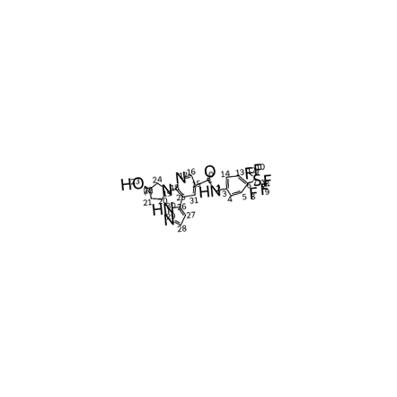 O=C(Nc1ccc(S(F)(F)(F)(F)F)cc1)c1cnc(N2CC[C@@H](O)C2)c(-c2ccn[nH]2)c1